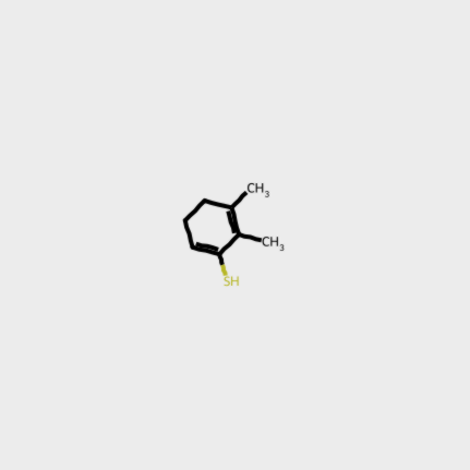 CC1=C(C)C(S)=CCC1